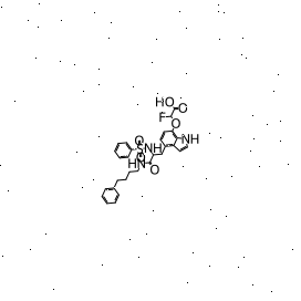 O=C(NCCCCc1ccccc1)C(Cc1ccc(OC(F)C(=O)O)c2[nH]ccc12)NS(=O)(=O)c1ccccc1